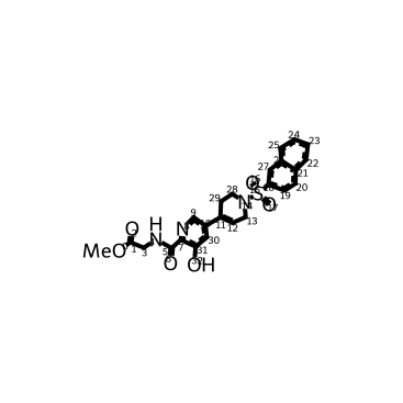 COC(=O)CNC(=O)c1ncc(C2=CCN(S(=O)(=O)c3ccc4ccccc4c3)CC2)cc1O